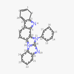 C1=CCc2nc3c(ccc4c3n(-c3ccccc3)c3nc5ccccc5n43)c2=C1